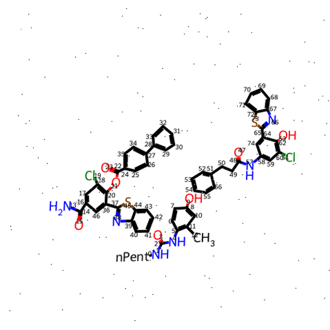 CCCCCNC(=O)Nc1ccc(O)cc1C.NC(=O)c1cc(Cl)c(OC(=O)c2ccc(-c3ccccc3)cc2)c(-c2nc3ccccc3s2)c1.O=C(CCc1ccccc1)Nc1cc(Cl)c(O)c(-c2nc3ccccc3s2)c1